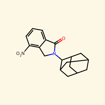 O=C1c2cccc([N+](=O)[O-])c2CN1C1C2CC3CC(C2)CC1C3